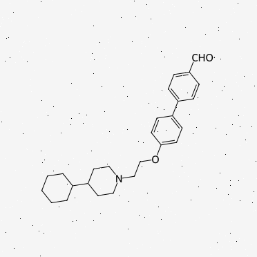 O=[C]c1ccc(-c2ccc(OCCN3CCC(C4CCCCC4)CC3)cc2)cc1